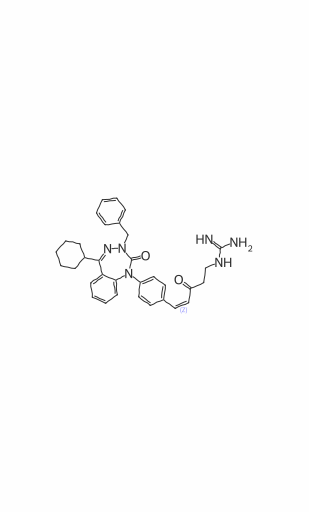 N=C(N)NCCC(=O)/C=C\c1ccc(N2C(=O)N(Cc3ccccc3)N=C(C3CCCCC3)c3ccccc32)cc1